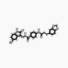 O=C(CCc1ccc2c(c1)OCO2)Nc1ccc(C(=O)N/N=C2\C(=O)Nc3ccc(Br)cc32)cc1